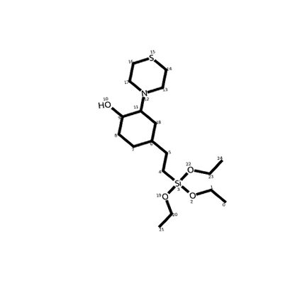 CCO[Si](CCC1CCC(O)C(N2CCSCC2)C1)(OCC)OCC